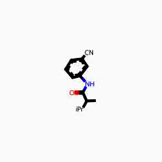 CC(C)C(C)C(=O)Nc1cccc(C#N)c1